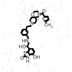 Cc1ccc(C(=O)N2CCOC3(CCN(CCc4cccc(CNC[C@H](O)c5ccc(O)c6[nH]c(=O)sc56)c4)CC3)C2)s1